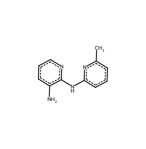 Cc1cccc(Nc2ncccc2N)n1